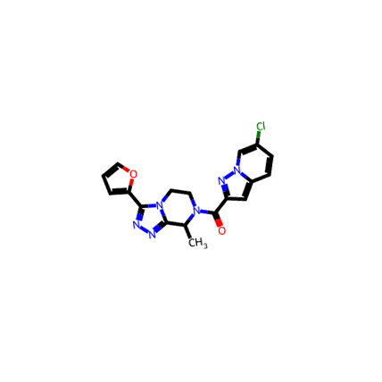 CC1c2nnc(-c3ccco3)n2CCN1C(=O)c1cc2ccc(Cl)cn2n1